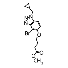 COC(=O)CCCOc1ccc2c(nnn2CC2CC2)c1Br